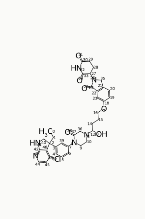 CCC1(c2cccc(N3CCN(C(O)CCCOc4ccc5c(c4)C(=O)N(C4CCC(=O)NC4=O)C5)CC3=O)c2)CNc2nccc(Cl)c21